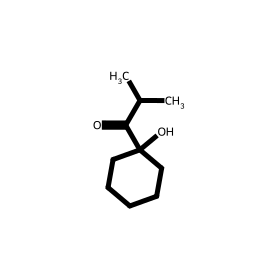 CC(C)C(=O)C1(O)CCCCC1